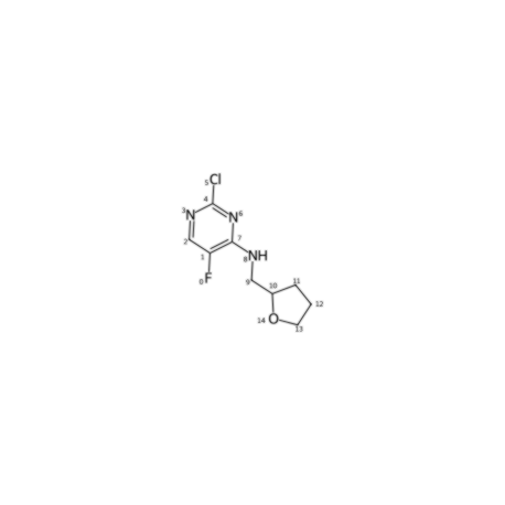 Fc1cnc(Cl)nc1NCC1CCCO1